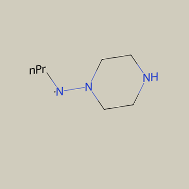 CCC[N]N1CCNCC1